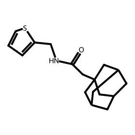 O=C(CC12CC3CC(CC(C3)C1)C2)NCc1cccs1